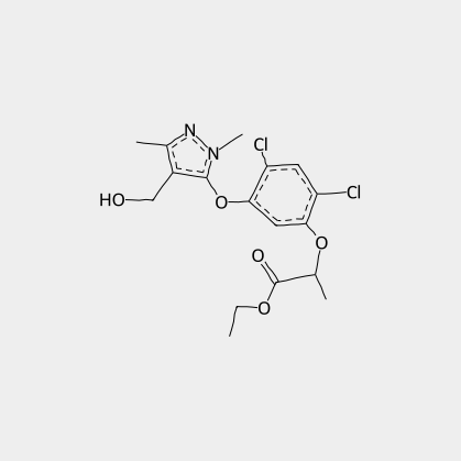 CCOC(=O)C(C)Oc1cc(Oc2c(CO)c(C)nn2C)c(Cl)cc1Cl